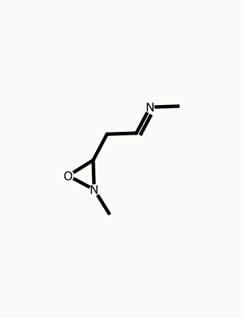 C/N=C/CC1ON1C